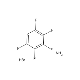 Br.Fc1cc(F)c(F)c(F)c1F.N